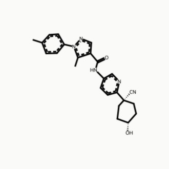 Cc1ccc(-n2ncc(C(=O)Nc3ccc([C@]4(C#N)CC[C@@H](O)CC4)nc3)c2C)cc1